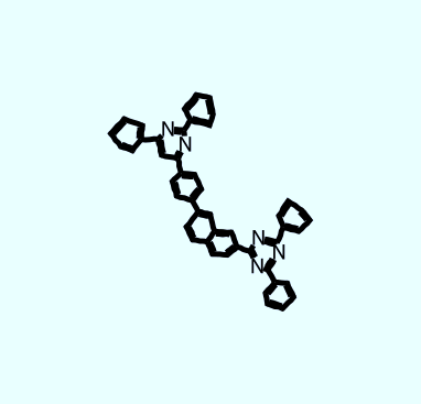 c1ccc(-c2cc(-c3ccc(-c4ccc5ccc(-c6nc(-c7ccccc7)nc(-c7ccccc7)n6)cc5c4)cc3)nc(-c3ccccc3)n2)cc1